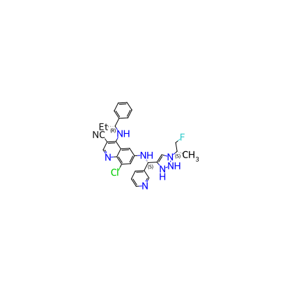 CC[C@@H](Nc1c(C#N)cnc2c(Cl)cc(N[C@H](C3=CN([C@@H](C)CF)NN3)c3cccnc3)cc12)c1ccccc1